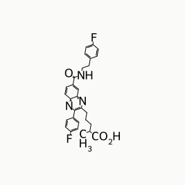 CC(CCCc1nc2cc(C(=O)NCCc3ccc(F)cc3)ccc2nc1-c1ccc(F)cc1)C(=O)O